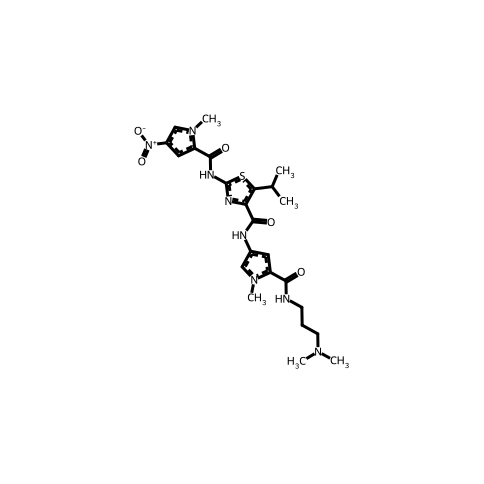 CC(C)c1sc(NC(=O)c2cc([N+](=O)[O-])cn2C)nc1C(=O)Nc1cc(C(=O)NCCCN(C)C)n(C)c1